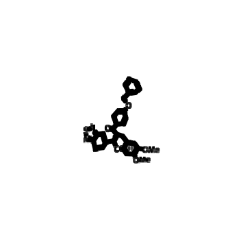 COc1ccc(CC(C(=O)c2ccc(OCc3ccccc3)cc2)=C(C(=O)O)c2ccc3nsnc3c2)cc1OC